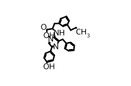 CCCc1cccc(CC(Nc2ncc(-c3ccc(O)cc3)nc2Cc2ccccc2)C(=O)O)c1